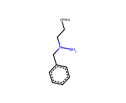 CCCCCCCCN(N)Cc1ccccc1